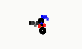 NC1CC(C(=O)O)N(S(=O)(=O)c2ccccc2)C1